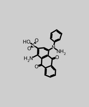 Nc1c(S(=O)(=O)O)cc(N(N)c2ccccc2)c2c1C(=O)c1ccccc1C2=O